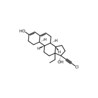 CCC12CC[C@H]3[C@@H](CC=C4C=C(O)CC[C@@H]43)[C@@H]1CC[C@@]2(O)C#CCl